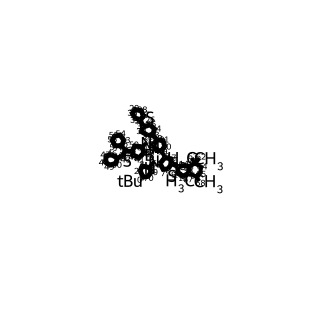 CC(C)(C)c1ccc(Nc2cc3sc4cc5c(cc4c3cc2-c2ccc3c4cc6sc7ccccc7c6cc4n4c3c2Bc2cc3sc(-c6ccccc6)c(-c6ccccc6)c3cc2-4)C(C)(C)CCC5(C)C)cc1